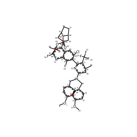 COc1ccc(CN(Cc2ccc(OC)cc2)c2cc(C)c(C(F)(F)F)c(-c3c(Cl)cc4c(N5CC6CCC(C5)N6C(=O)OC(C)(C)C)nc(F)nc4c3F)n2)cc1